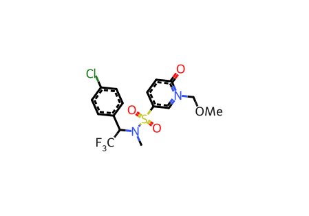 COCn1cc(S(=O)(=O)N(C)C(c2ccc(Cl)cc2)C(F)(F)F)ccc1=O